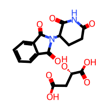 O=C(O)C[C@H](O)C(=O)O.O=C1CCC(N2C(=O)c3ccccc3C2=O)C(=O)N1